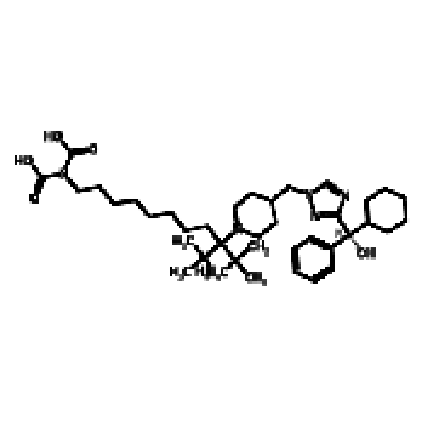 CC(C)(C)C(CCCCCCCCN(C(=O)O)C(=O)O)(N1CCC(Cn2cnc([C@](O)(c3ccccc3)C3CCCCC3)n2)CC1)C(C)(C)C